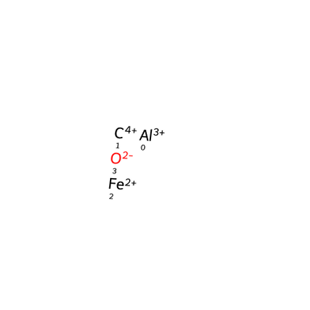 [Al+3].[C+4].[Fe+2].[O-2]